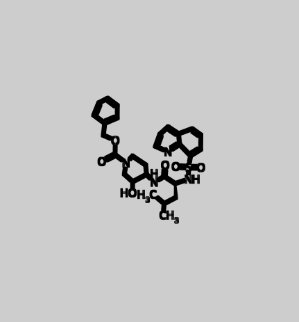 CC(C)C[C@H](NS(=O)(=O)c1cccc2cccnc12)C(=O)NC1CCN(C(=O)OCc2ccccc2)CC1O